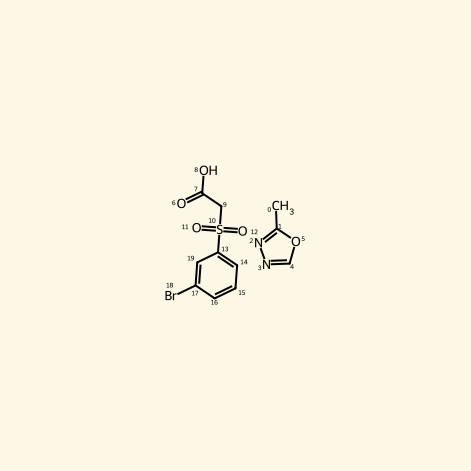 Cc1nnco1.O=C(O)CS(=O)(=O)c1cccc(Br)c1